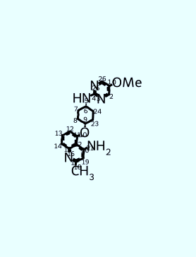 COc1cnc(N[C@H]2CC[C@H](Oc3cccc4nc(C)cc(N)c34)CC2)nc1